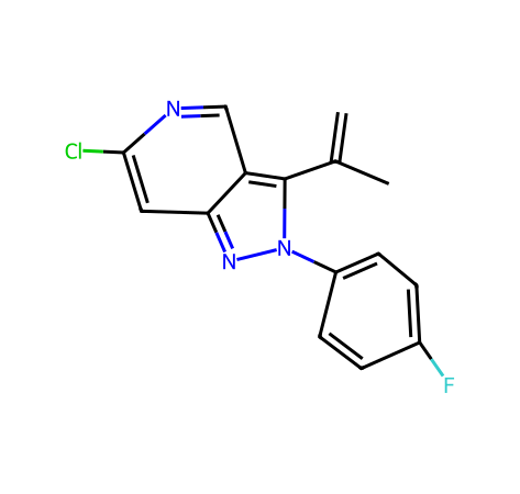 C=C(C)c1c2cnc(Cl)cc2nn1-c1ccc(F)cc1